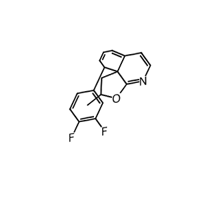 CC1CC23C(=CC=CC2c2ccc(F)c(F)c2)C=CN=C3O1